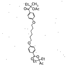 CCC(C)(OC(C)=O)C(=O)c1ccc(OCCCCCCOc2ccc(C(=O)OC(CC)(CC)C(C)=O)cc2)cc1